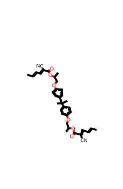 CC=CC=C(C#N)C(=O)OC(C)COc1ccc(C(C)(C)c2ccc(OCC(C)OC(=O)C(C#N)=CC=CC)cc2)cc1